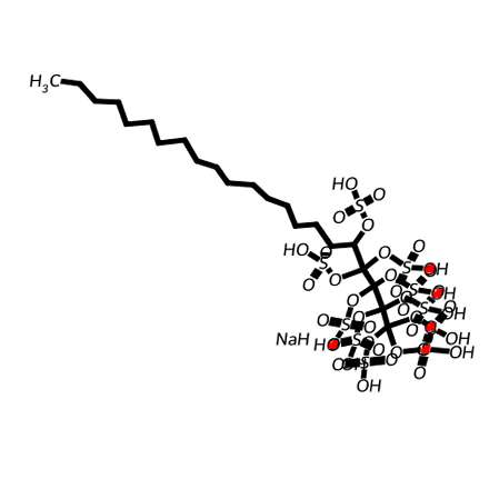 CCCCCCCCCCCCCCCCCC(OS(=O)(=O)O)C(OS(=O)(=O)O)(OS(=O)(=O)O)C(OS(=O)(=O)O)(OS(=O)(=O)O)C(OS(=O)(=O)O)(OS(=O)(=O)O)C(OS(=O)(=O)O)(OS(=O)(=O)O)OS(=O)(=O)O.[NaH]